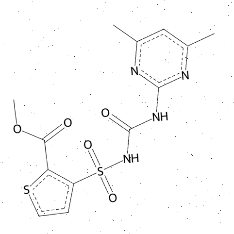 COC(=O)c1sccc1S(=O)(=O)NC(=O)Nc1nc(C)cc(C)n1